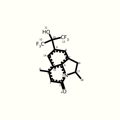 Cc1cc(=O)n2c3c(cc(C(O)(C(F)(F)F)C(F)(F)F)cc13)CC2C